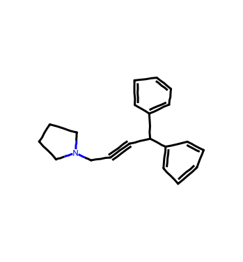 C(#CC(c1ccccc1)c1ccccc1)CN1CCCC1